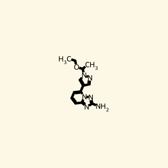 CCOC(C)n1cc(-c2cccc3nc(N)nn23)cn1